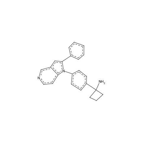 NC1(c2ccc(-n3c(-c4ccccc4)cc4cnccc43)cc2)CCC1